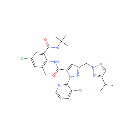 Cc1cc(Cl)cc(C(=O)NC(C)(C)C)c1NC(=O)c1cc(Cn2ncc(C(C)C)n2)nn1-c1ncccc1Cl